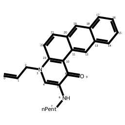 C=CCn1cc(NCCCCC)c(=O)c2c3cc4ccccc4cc3ccc21